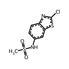 CS(=O)(=O)Nc1ccc2nc(Cl)sc2c1